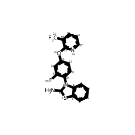 NC1Sc2ccccc2N1c1ccc(Oc2ncccc2C(F)(F)F)cc1F